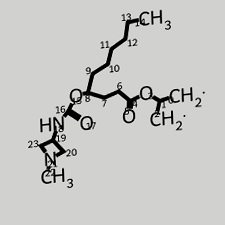 [CH2]C([CH2])OC(=O)CCC(CCCCCC)OC(=O)NC1CN(C)C1